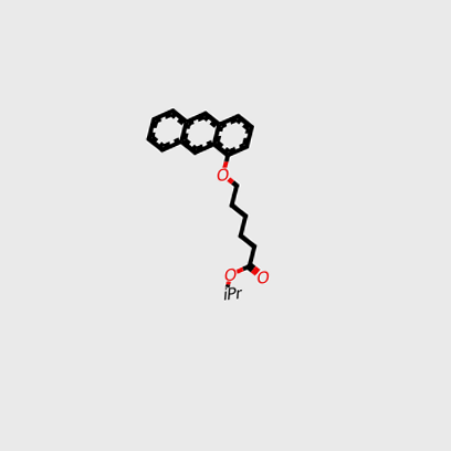 CC(C)OC(=O)CCCCCOc1cccc2cc3ccccc3cc12